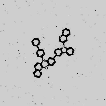 c1ccc(-c2ccc(N3c4cc(-c5ccc6c(c5)c5ccccc5n6-c5ccc6ccccc6c5)ccc4Oc4c3ccc3ccccc43)cc2)cc1